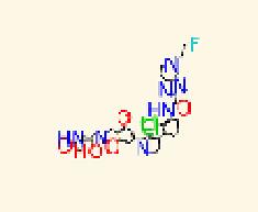 COc1cc(-c2nccc(-c3cccc(NC(=O)c4nc5c(n4C)CN(CCCF)CC5)c3Cl)c2Cl)ccc1CN(C[C@@H]1CCC(=O)N1)C(=O)O